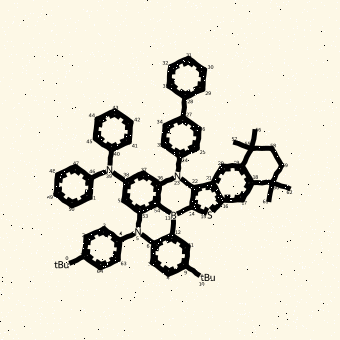 CC(C)(C)c1ccc(N2c3ccc(C(C)(C)C)cc3B3c4sc5cc6c(cc5c4N(c4ccc(-c5ccccc5)cc4)c4cc(N(c5ccccc5)c5ccccc5)cc2c43)C(C)(C)CCC6(C)C)cc1